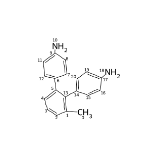 Cc1cccc(-c2ccc(N)cc2)c1-c1ccc(N)cc1